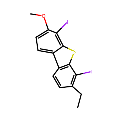 CCc1ccc2c(sc3c(I)c(OC)ccc32)c1I